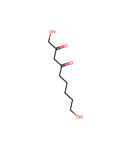 O=C(CO)CC(=O)CCCCCO